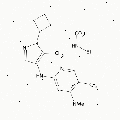 CCNC(=O)O.CNc1nc(Nc2cnn(C3CCC3)c2C)ncc1C(F)(F)F